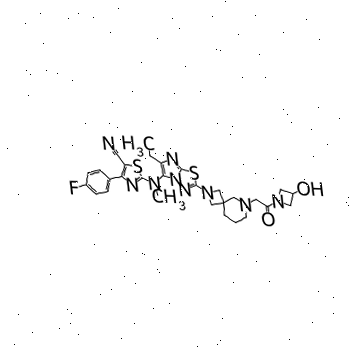 CCc1nc2sc(N3CC4(CCCN(CC(=O)N5CC(O)C5)C4)C3)nn2c1N(C)c1nc(-c2ccc(F)cc2)c(C#N)s1